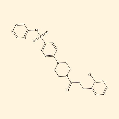 O=C(CCc1ccccc1Cl)N1CCN(c2ccc(S(=O)(=O)Nc3ccncn3)cc2)CC1